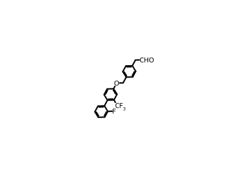 O=CCc1ccc(COc2ccc(-c3ccccc3F)c(C(F)(F)F)c2)cc1